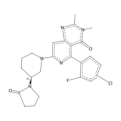 Cc1nc2cc(N3CCC[C@H](N4CCCC4=O)C3)nc(-c3ccc(Cl)cc3F)c2c(=O)n1C